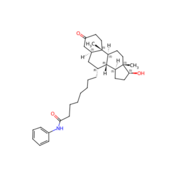 C[C@]12CCC(=O)C[C@@H]1C[C@@H](CCCCCCCC(=O)Nc1ccccc1)[C@@H]1[C@@H]2CC[C@]2(C)[C@@H](O)CC[C@@H]12